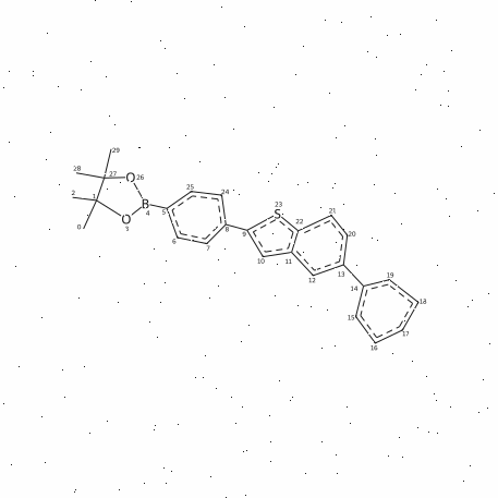 CC1(C)OB(c2ccc(-c3cc4cc(-c5ccccc5)ccc4s3)cc2)OC1(C)C